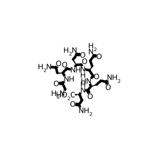 NCC(=O)N[C@@H](CC(N)=O)C(=O)N[C@@H](CC(N)=O)C(=O)N[C@@H](CCC(N)=O)C(=O)N[C@@H](CCC(N)=O)C(=O)N[C@@H](CC(N)=O)C(=O)O